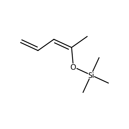 C=C/C=C(/C)O[Si](C)(C)C